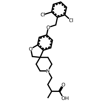 CC(CCN1CCC2(CC1)COc1cc(OCc3c(Cl)cccc3Cl)ccc12)C(=O)O